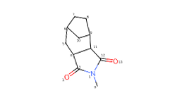 CN1C(=O)C2CC3CCC(C3)C2C1=O